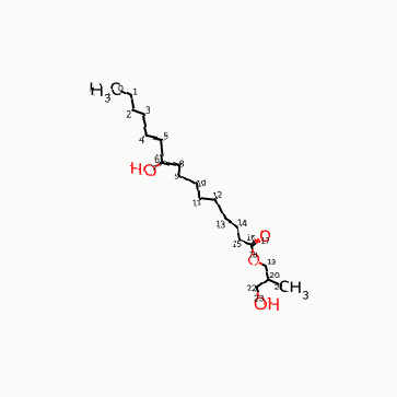 CCCCCCC(O)CCCCCCCCC(=O)OCC(C)CO